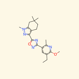 CCc1cc(-c2noc(-c3nn(C)c4c3CCC(C)(C)C4)n2)c(C)nc1OC